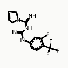 N=C(NC(=N)N1CC=CC1)Nc1ccc(C(F)(F)F)c(F)c1